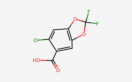 O=C(O)c1cc2c(cc1Cl)OC(F)(F)O2